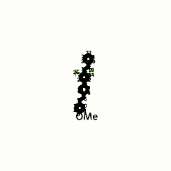 COc1ccc(CCC2CCC(c3cc(F)c(C[C@@H](C)c4ccccc4)c(F)c3)CC2)cc1